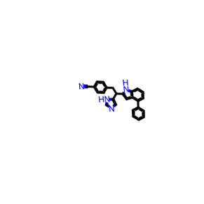 N#Cc1ccc(CC(c2cnc[nH]2)c2cc3c(-c4ccccc4)cccc3[nH]2)cc1